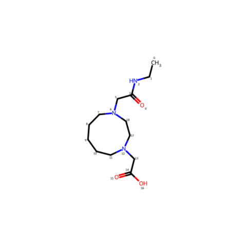 CCNC(=O)CN1CCCCCN(CC(=O)O)CC1